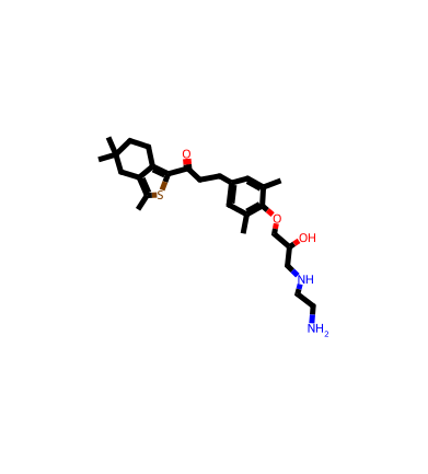 Cc1cc(CCC(=O)c2sc(C)c3c2CCC(C)(C)C3)cc(C)c1OCC(O)CNCCN